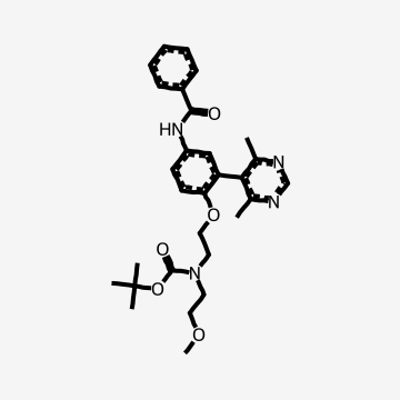 COCCN(CCOc1ccc(NC(=O)c2ccccc2)cc1-c1c(C)ncnc1C)C(=O)OC(C)(C)C